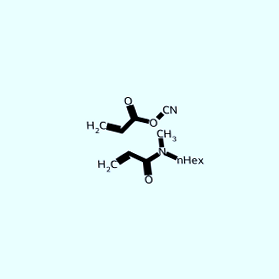 C=CC(=O)N(C)CCCCCC.C=CC(=O)OC#N